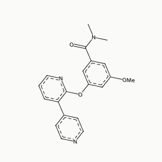 COc1cc(Oc2ncccc2-c2ccncc2)cc(C(=O)N(C)C)c1